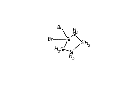 Br[Si]1(Br)[SiH2][SiH2][SiH2][SiH2]1